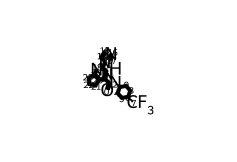 O=C(N[C@H]1CC[C@H](C(F)(F)F)CC1)c1nc(-n2ccnc2)nc2c1CCC2